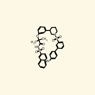 CC(C)c1ccc(-c2cccc(S(=O)(=O)N3CCCC(c4cccc(OC(C)(C)C(=O)NS(=O)(=O)c5ccc6ccccc6c5)c4)C3)c2)cc1